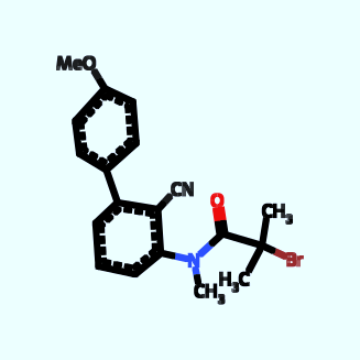 COc1ccc(-c2cccc(N(C)C(=O)C(C)(C)Br)c2C#N)cc1